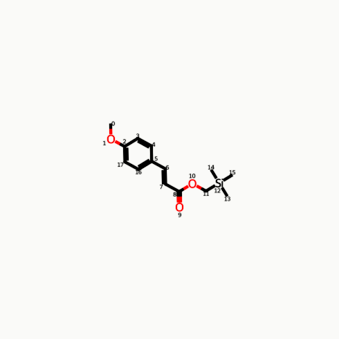 COc1ccc(/C=C/C(=O)OC[Si](C)(C)C)cc1